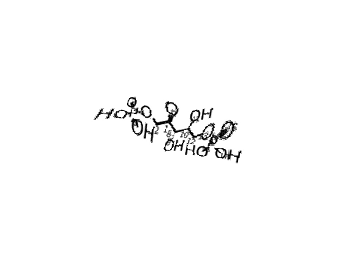 O=C(COP(=O)(O)O)[C@@H](O)[C@@H](O)COP(=O)(O)O